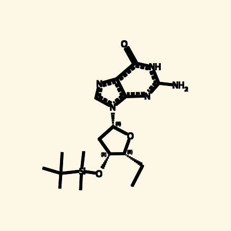 CC[C@H]1O[C@@H](n2cnc3c(=O)[nH]c(N)nc32)C[C@H]1O[Si](C)(C)C(C)(C)C